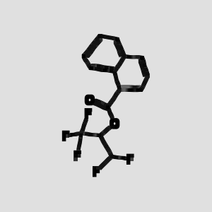 O=C(OC(C(F)F)C(F)(F)F)c1cccc2ccccc12